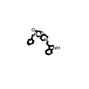 O=C1COC2(CCN(CCc3c[nH]c4ccccc34)CC2)CN1Cc1ccccc1